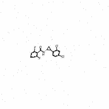 O=C(N[C@@H]1CC1c1ccc(Cl)cc1Cl)c1c(F)cccc1F